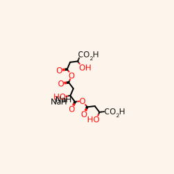 O=C(CC(O)C(=O)O)OC(=O)CC(O)C(=O)OC(=O)CC(O)C(=O)O.[NaH].[NaH]